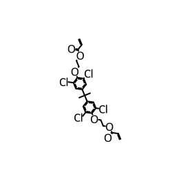 C=CC(=O)OCCOc1c(Cl)cc(C(C)(C)c2cc(Cl)c(OCCOC(=O)C=C)c(Cl)c2)cc1Cl